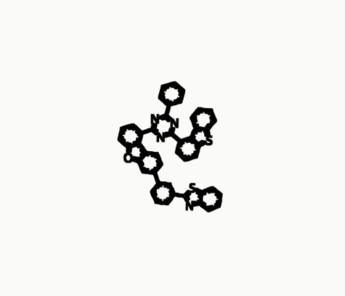 c1ccc(-c2nc(-c3cccc4oc5cc(-c6cccc(-c7nc8ccccc8s7)c6)ccc5c34)nc(-c3cccc4sc5ccccc5c34)n2)cc1